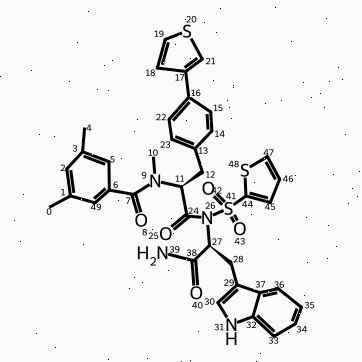 Cc1cc(C)cc(C(=O)N(C)[C@@H](Cc2ccc(-c3ccsc3)cc2)C(=O)N([C@@H](Cc2c[nH]c3ccccc23)C(N)=O)S(=O)(=O)c2cccs2)c1